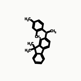 Cc1ccc(N(C)c2ccc3c(c2)C(C)(C)c2ccccc2-3)c(C)c1